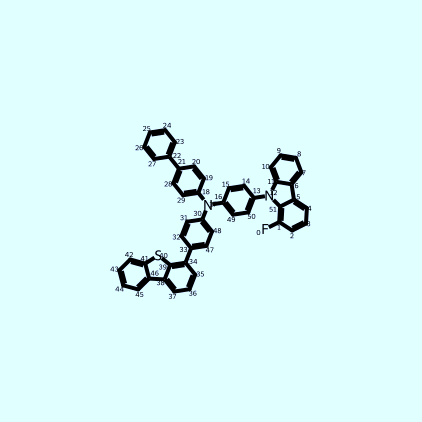 Fc1cccc2c3ccccc3n(-c3ccc(N(c4ccc(-c5ccccc5)cc4)c4ccc(-c5cccc6c5sc5ccccc56)cc4)cc3)c12